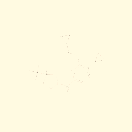 O=C(c1ccc(C2CC2)c(OCC2CC2)n1)N1CCC(O)(C(F)(F)F)C1